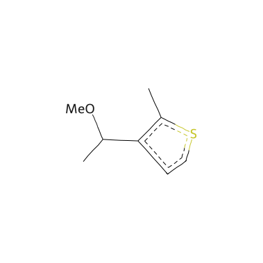 COC(C)c1ccsc1C